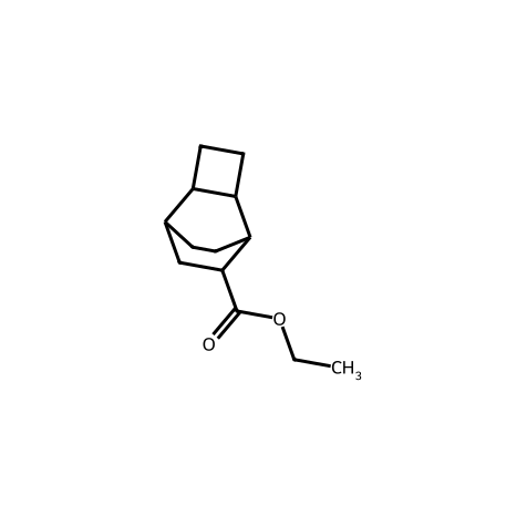 CCOC(=O)C1CC2CCC1C1CCC21